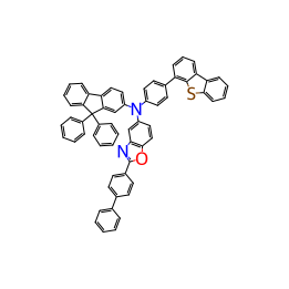 c1ccc(-c2ccc(-c3nc4cc(N(c5ccc(-c6cccc7c6sc6ccccc67)cc5)c5ccc6c(c5)C(c5ccccc5)(c5ccccc5)c5ccccc5-6)ccc4o3)cc2)cc1